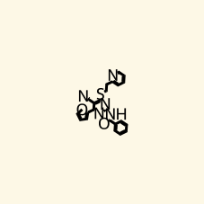 N#Cc1c(SCCc2ccccn2)nc(NC(=O)c2ccccc2)nc1-c1ccco1